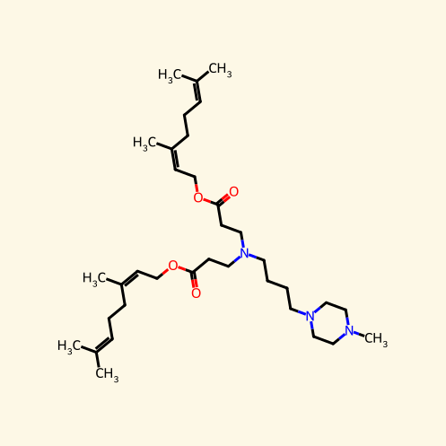 CC(C)=CCC/C(C)=C\COC(=O)CCN(CCCCN1CCN(C)CC1)CCC(=O)OC/C=C(/C)CCC=C(C)C